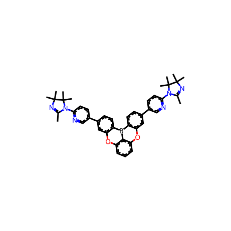 CC1=NC(C)(C)C(C)(C)N1c1ccc(-c2ccc3c(c2)Oc2cccc4c2B3c2ccc(-c3ccc(N5C(C)=NC(C)(C)C5(C)C)nc3)cc2O4)cn1